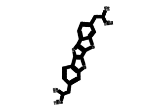 CCCCC(CC)Cc1ccc2c(c1)sc1c2sc2c3ccc(CC(CC)CCCC)cc3sc21